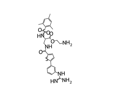 Cc1cc(C)c(S(=O)(=O)NC(CNC(=O)c2ccc(-c3cccc(NC(=N)N)c3)s2)C(=O)OCCN)c(C)c1